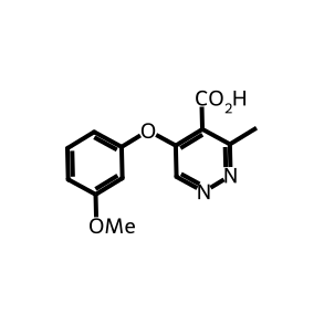 COc1cccc(Oc2cnnc(C)c2C(=O)O)c1